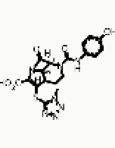 Cn1nnnc1SC1=C(C(=O)O)N2C(=O)[C@@H]3[C@H]2C1CCN3C(=O)Nc1ccc(O)cc1